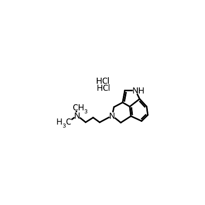 CN(C)CCCN1Cc2cccc3[nH]cc(c23)C1.Cl.Cl